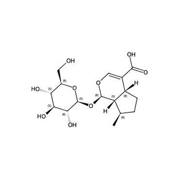 C[C@@H]1CC[C@H]2C(C(=O)O)=CO[C@H](O[C@@H]3O[C@H](CO)[C@@H](O)[C@H](O)[C@H]3O)[C@@H]12